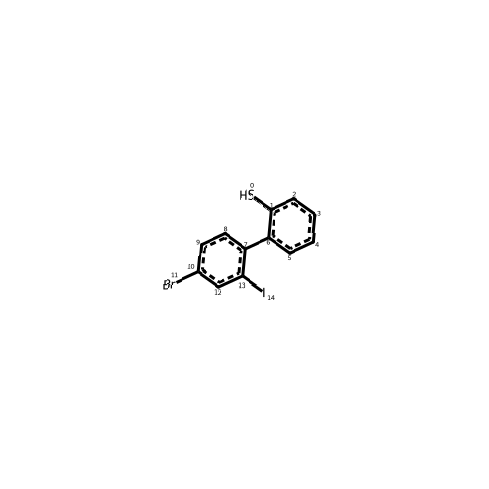 Sc1ccccc1-c1ccc(Br)cc1I